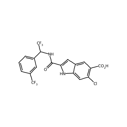 O=C(NC(c1cccc(C(F)(F)F)c1)C(F)(F)F)c1cc2cc(C(=O)O)c(Cl)cc2[nH]1